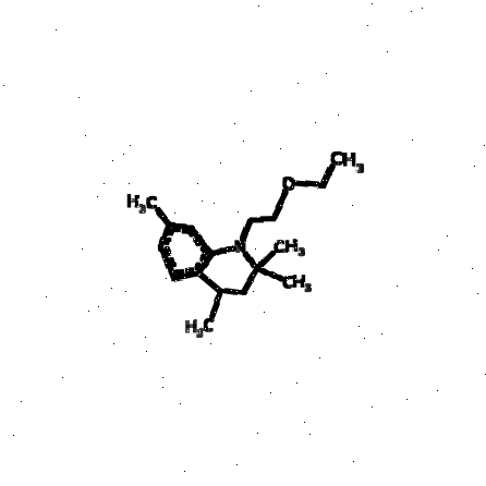 CCOCCN1c2cc(C)ccc2C(C)CC1(C)C